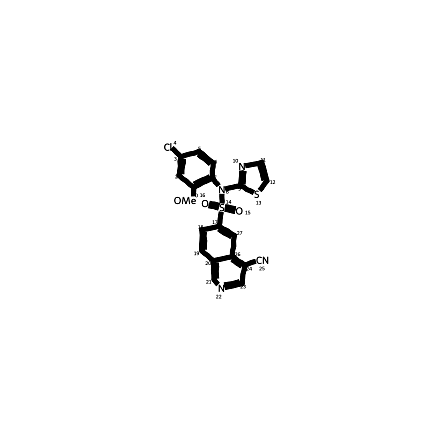 COc1cc(Cl)ccc1N(c1nccs1)S(=O)(=O)c1ccc2cncc(C#N)c2c1